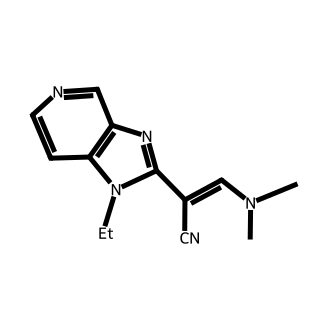 CCn1c(C(C#N)=CN(C)C)nc2cnccc21